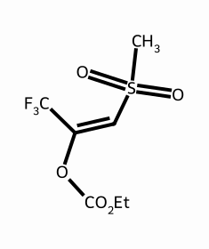 CCOC(=O)OC(=CS(C)(=O)=O)C(F)(F)F